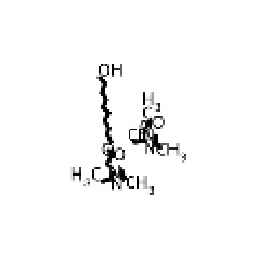 CCc1nc(C)cn1CC(=O)OCCCCCCCCCCO.CCc1nc(C)cn1OC(C)=O